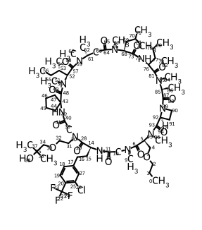 CCCOC[C@H]1C(=O)N(C)CC(=O)N[C@@H](CCc2ccc(C(F)(F)F)c(Cl)c2)C(=O)N(CCOCC(C)(C)O)CC(=O)NC2(CCCC2)C(=O)N(C)[C@@H]([C@@H](C)CC)C(=O)N(C)[C@H](C)CC(=O)N(C)[C@@H](CC(C)C)C(=O)N[C@@H]([C@@H](C)CC)C(=O)N(C)[C@@H](C)C(=O)N2CC[C@H]2C(=O)N1C